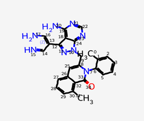 Cc1ccccc1-n1c(Cn2nc(/C(C=N)=C/N)c3c(N)ncnc32)cc2cccc(C)c2c1=O